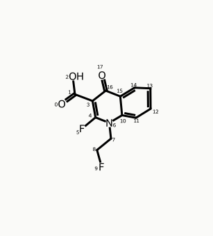 O=C(O)c1c(F)n(CCF)c2ccccc2c1=O